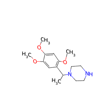 COc1cc(OC)c(C(C)N2CCNCC2)cc1OC